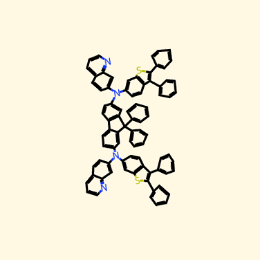 c1ccc(-c2sc3cc(N(c4ccc5c(c4)C(c4ccccc4)(c4ccccc4)c4cc(N(c6ccc7cccnc7c6)c6ccc7c(-c8ccccc8)c(-c8ccccc8)sc7c6)ccc4-5)c4ccc5cccnc5c4)ccc3c2-c2ccccc2)cc1